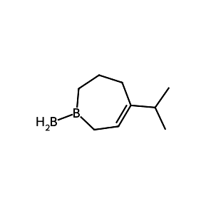 BB1CC=C(C(C)C)CCC1